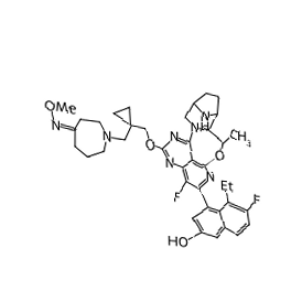 CCc1c(F)ccc2cc(O)cc(-c3nc4c5c(nc(OCC6(CN7CCCC(=NOC)CC7)CC6)nc5c3F)N3CC5CCC(N5)C3C(C)O4)c12